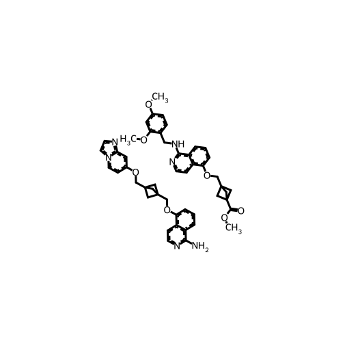 COC(=O)C12CC(COc3cccc4c(NCc5ccc(OC)cc5OC)nccc34)(C1)C2.Nc1nccc2c(OCC34CC(COc5ccn6ccnc6c5)(C3)C4)cccc12